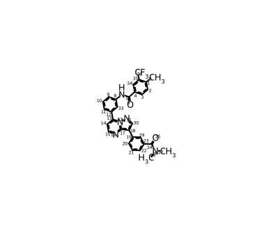 Cc1ccc(C(=O)Nc2cccc(-c3ccnc4c(-c5cccc(C(=O)N(C)C)c5)cnn34)c2)cc1C(F)(F)F